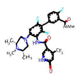 CNC(=O)c1cc(-c2c(F)cc(N3C[C@@H](C)N(C)[C@@H](C)C3)c(NC(=O)c3c[nH]c(=O)cc3C(F)(F)F)c2F)ccc1F